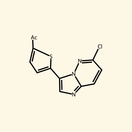 CC(=O)c1ccc(-c2cnc3ccc(Cl)nn23)s1